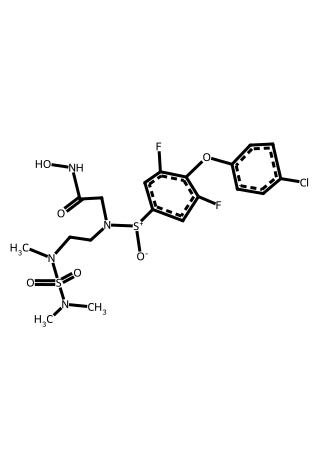 CN(C)S(=O)(=O)N(C)CCN(CC(=O)NO)[S+]([O-])c1cc(F)c(Oc2ccc(Cl)cc2)c(F)c1